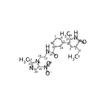 CCc1cc(-c2cccc(C(=O)NCCn3c([N+](=O)[O-])cnc3C)c2)c(C)[nH]c1=O